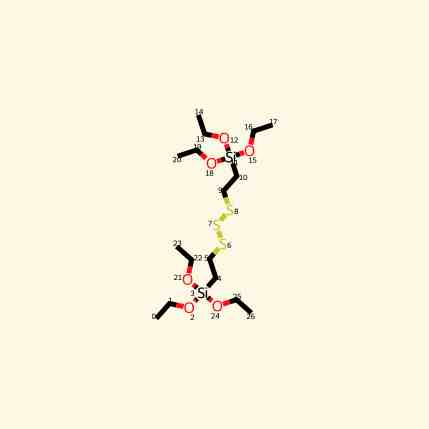 CCO[Si](CCSSSCC[Si](OCC)(OCC)OCC)(OCC)OCC